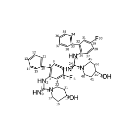 N=C(Nc1cc(F)ccc1-c1ccccc1)N1CCC(O)CC1.N=C(Nc1ccc(F)cc1-c1ccccc1)N1CCC(O)CC1